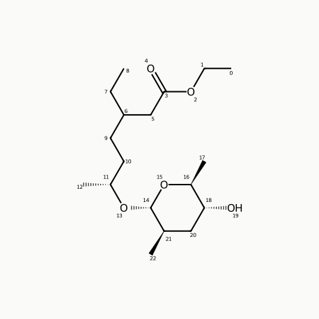 CCOC(=O)CC(CC)CC[C@@H](C)O[C@@H]1O[C@@H](C)[C@H](O)C[C@H]1C